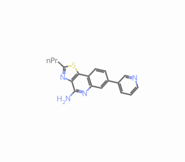 CCCc1nc2c(N)nc3cc(-c4cccnc4)ccc3c2s1